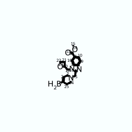 BC1=CCN(Cc2nc3ccc(C(=O)OC)cc3n2CC2CCO2)CC1